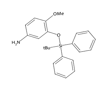 COc1ccc(N)cc1O[Si](c1ccccc1)(c1ccccc1)C(C)(C)C